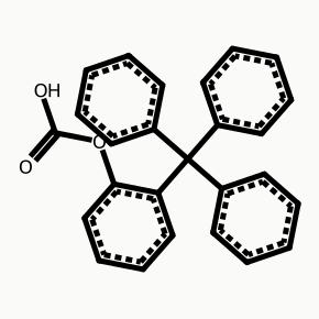 O=C(O)Oc1ccccc1C(c1ccccc1)(c1ccccc1)c1ccccc1